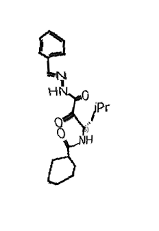 CC(C)C[C@H](NC(=O)C1CCCCC1)C(=O)C(=O)NN=Cc1ccccc1